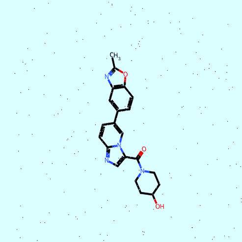 Cc1nc2cc(-c3ccc4ncc(C(=O)N5CCC(O)CC5)n4c3)ccc2o1